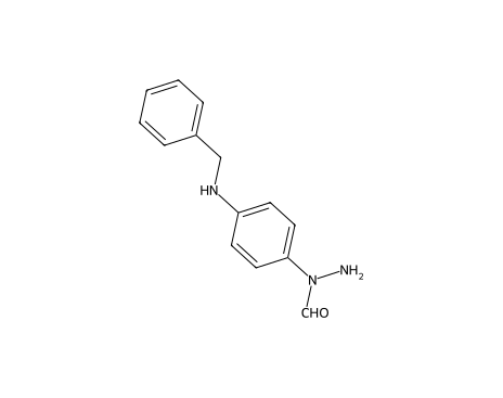 NN(C=O)c1ccc(NCc2ccccc2)cc1